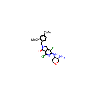 COc1ccc(CN2Cc3c(F)c(NC4CCOC[C@@H]4N)nc(Cl)c3C2=O)c(OC)c1